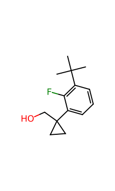 CC(C)(C)c1cccc(C2(CO)CC2)c1F